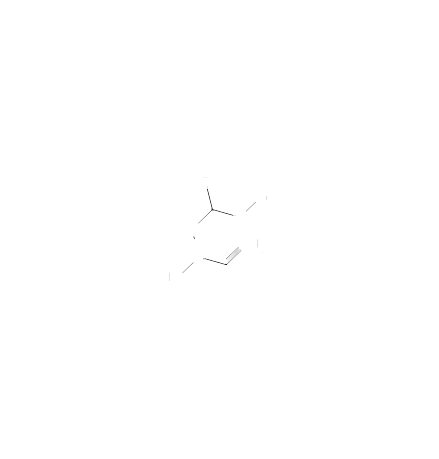 C=C[SiH](CC)OC(CC)OCC